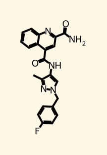 Cc1nn(Cc2ccc(F)cc2)cc1NC(=O)c1cc(C(N)=O)nc2ccccc12